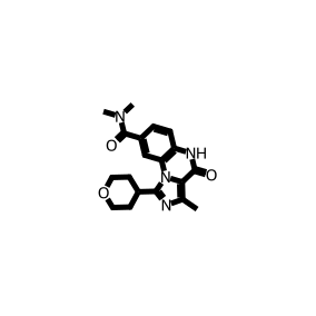 Cc1nc(C2CCOCC2)n2c1c(=O)[nH]c1ccc(C(=O)N(C)C)cc12